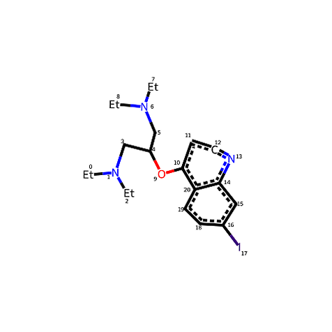 CCN(CC)CC(CN(CC)CC)Oc1ccnc2cc(I)ccc12